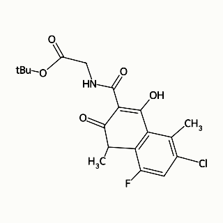 Cc1c(Cl)cc(F)c2c1C(O)=C(C(=O)NCC(=O)OC(C)(C)C)C(=O)C2C